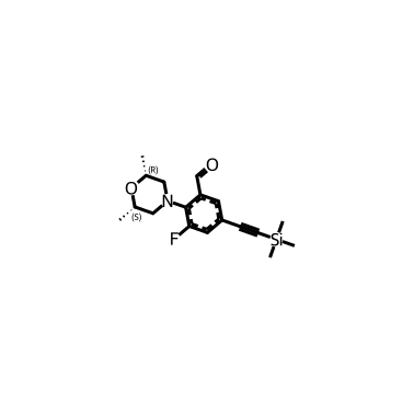 C[C@@H]1CN(c2c(F)cc(C#C[Si](C)(C)C)cc2C=O)C[C@H](C)O1